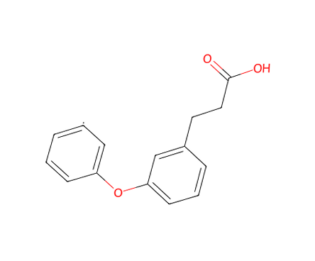 O=C(O)CCc1cccc(Oc2c[c]ccc2)c1